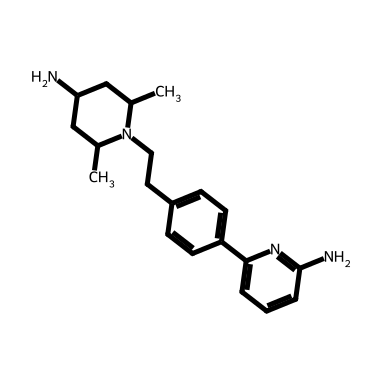 CC1CC(N)CC(C)N1CCc1ccc(-c2cccc(N)n2)cc1